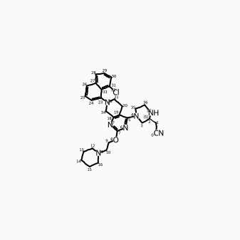 N#CC[C@H]1CN(c2nc(OCCN3CCCCC3)nc3c2CCN(c2cccc4cccc(Cl)c24)C3)CCN1